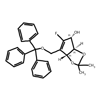 CC1(C)O[C@H]2[C@H](O1)C(COC(c1ccccc1)(c1ccccc1)c1ccccc1)=C(F)[C@@H]2O